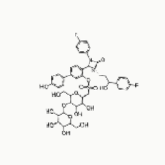 O=C1[C@H](CCC(O)c2ccc(F)cc2)C(c2ccc(-c3ccc(O)cc3)cc2OS(=O)(=O)CC2OC(CO)C(OC3OC(CO)C(O)C(O)C3O)C(O)C2O)N1c1ccc(F)cc1